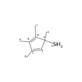 CC1=[C]C(C)([SiH3])C(C)=C1C